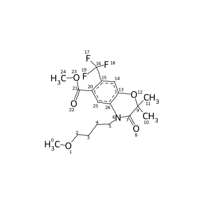 COCCCCN1C(=O)C(C)(C)Oc2cc(C(F)(F)F)c(C(=O)OC)cc21